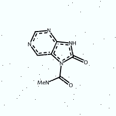 CNC(=O)n1c(=O)[nH]c2ncncc21